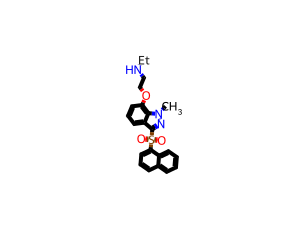 CCNCCOc1cccc2c(S(=O)(=O)c3cccc4ccccc34)nn(C)c12